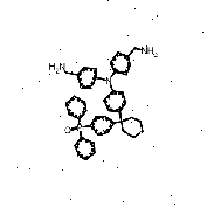 NCc1ccc(N(c2ccc(CN)cc2)c2ccc(C3(c4ccc(P(=O)(c5ccccc5)c5ccccc5)cc4)CCCCC3)cc2)cc1